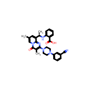 Cc1cc([C@@H](C)Nc2ccccc2C(=O)O)c2nc(N3CCN(c4cccc(C#N)c4)CC3)c(C)c(=O)n2c1